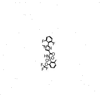 Cc1cccc(OC(F)(F)F)c1S(=O)(=O)NC(=O)c1cn(C)c(-c2c(F)cccc2F)n1